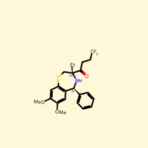 CC[C@]1(C(=O)CCC(F)(F)F)CSc2cc(OC)c(OC)cc2[C@H](c2ccccc2)N1